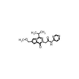 COCc1cc2c(=O)n(CC(=O)Nc3ccncn3)nc(C(C)C)n2c1